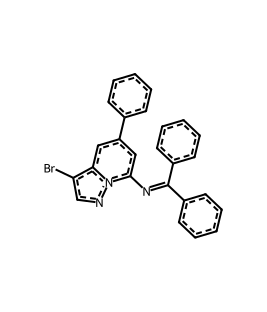 Brc1cnn2c(N=C(c3ccccc3)c3ccccc3)cc(-c3ccccc3)cc12